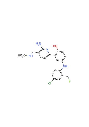 Nc1nc(-c2cc(Nc3ccc(Cl)cc3CF)ccc2O)ccc1CNC(=O)O